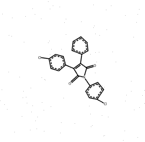 O=C1C(c2ccccc2)=C(c2ccc(Cl)cc2)C(=O)N1c1ccc(Cl)cc1